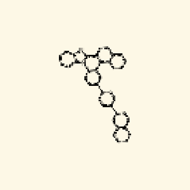 c1ccc2cc(-c3ccc(-c4ccc5c(c4)c4c6ccccc6ccc4c4nc6ccccc6n54)cc3)ccc2c1